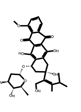 COc1cccc2c1C(=O)c1c(O)c3c(c(O)c1C2=O)C[C@@](O)(/C(CO)=C(/C)C(C)C)C[C@@H]3O[C@H]1C[C@H](N)[C@@H](O)[C@H](C)O1